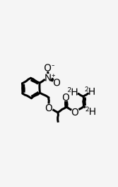 [2H]C([2H])=C([2H])OC(=O)C(C)OCc1ccccc1[N+](=O)[O-]